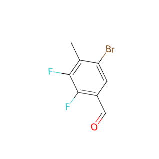 Cc1c(Br)cc(C=O)c(F)c1F